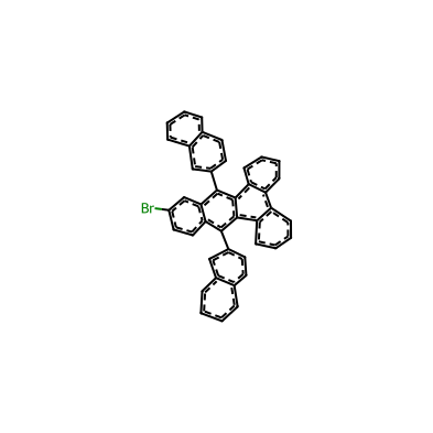 Brc1ccc2c(-c3ccc4ccccc4c3)c3c4ccccc4c4ccccc4c3c(-c3ccc4ccccc4c3)c2c1